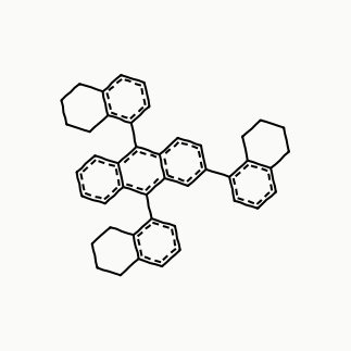 c1cc2c(c(-c3ccc4c(-c5cccc6c5CCCC6)c5ccccc5c(-c5cccc6c5CCCC6)c4c3)c1)CCCC2